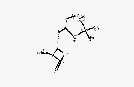 CCCCCCCCCCC[C@@H](C[C@@H]1OC(=O)[C@H]1CCCCCC)O[Si](C)(C)C(C)(C)C